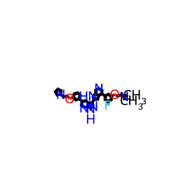 CN(C)CCOc1cc(F)cc(-c2cncc3[nH]c(-c4n[nH]c5ncc(-c6cccc(OCCN7CCCC7)c6)cc45)cc23)c1